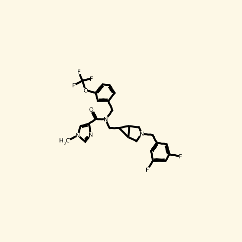 Cn1cnc(C(=O)N(Cc2cccc(OC(F)(F)F)c2)CC2C3CN(Cc4cc(F)cc(F)c4)CC32)c1